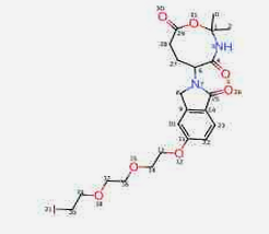 CC1(C)NC(=O)C(N2Cc3cc(OCCOCCOCCI)ccc3C2=O)CCC(=O)O1